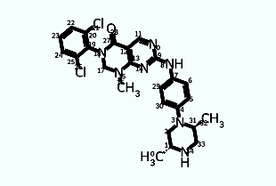 C[C@@H]1CN(c2ccc(Nc3ncc4c(n3)N(C)CN(c3c(Cl)cccc3Cl)C4=O)cc2)[C@@H](C)CN1